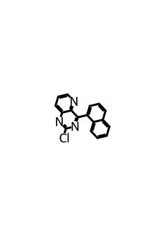 Clc1nc(-c2cccc3ccccc23)c2ncccc2n1